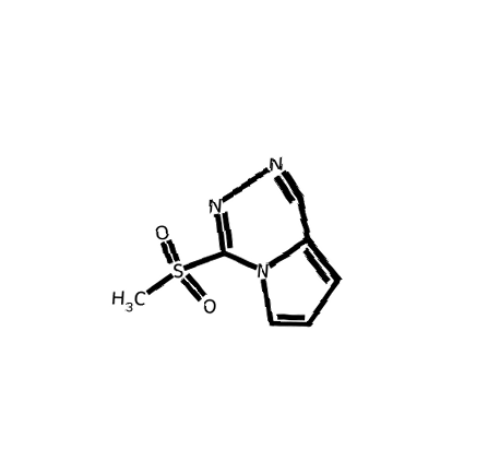 CS(=O)(=O)c1nncc2cccn12